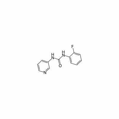 O=C(Nc1cccnc1)Nc1ccccc1F